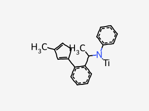 CC1=CCC(c2ccccc2C(C)[N]([Ti])c2ccccc2)=C1